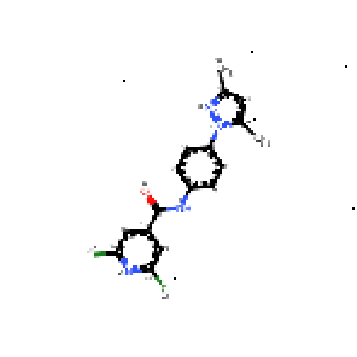 O=C(Nc1ccc(-n2nc(C(F)(F)F)cc2C(F)(F)F)cc1)c1cc(Cl)nc(Cl)c1